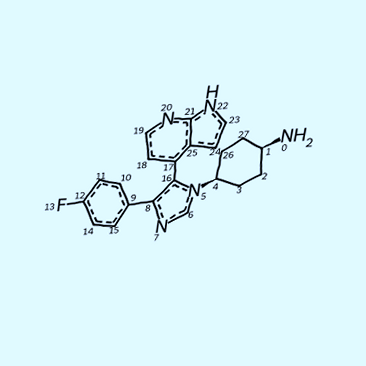 N[C@H]1CC[C@@H](n2cnc(-c3ccc(F)cc3)c2-c2ccnc3[nH]ccc23)CC1